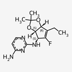 CCC1=C(F)[C@@H](Nc2nccc(N)n2)[C@@H]2OC(C)(C)O[C@H]12